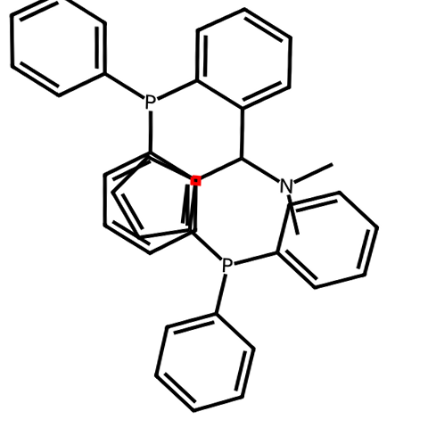 CN(C)C(C1=C(P(c2ccccc2)c2ccccc2)C=CC1)c1ccccc1P(c1ccccc1)c1ccccc1